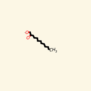 CCCCCCCCCCCC(=O)C[O]